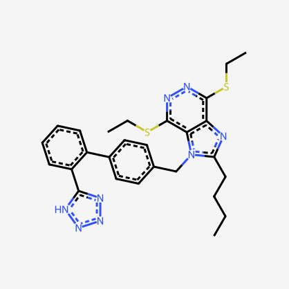 CCCCc1nc2c(SCC)nnc(SCC)c2n1Cc1ccc(-c2ccccc2-c2nnn[nH]2)cc1